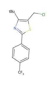 CC(C)(C)c1nc(-c2ccc(C(F)(F)F)cc2)sc1CCl